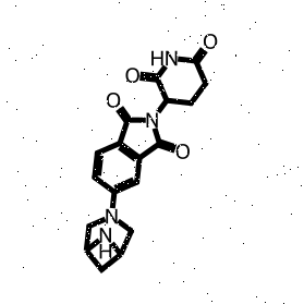 O=C1CCC(N2C(=O)c3ccc(N4CC5CC(C4)N5)cc3C2=O)C(=O)N1